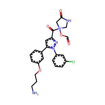 NCCCOc1cccc(-c2cc(C(=O)[N+]3(OC=O)CNC(=O)C3)nn2-c2cccc(Cl)c2)c1